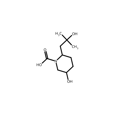 CC(C)(O)CC1CCC(O)CN1C(=O)O